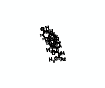 CC(=O)C(C)NC(=O)[C@H]1CC[C@H]2[C@@H]3CC[C@H]4NC(=O)CC[C@]4(C)[C@H]3CC[C@]12C